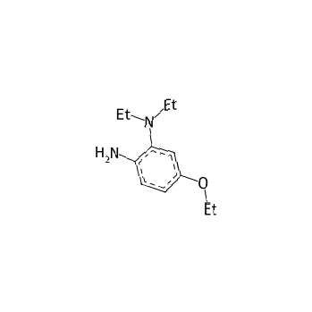 CCOc1ccc(N)c(N(CC)CC)c1